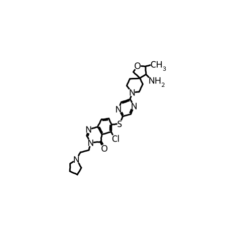 CC1OCC2(CCN(c3cnc(Sc4ccc5ncn(CCN6CCCC6)c(=O)c5c4Cl)cn3)CC2)C1N